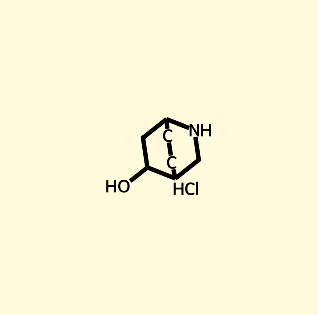 Cl.OC1CC2CCC1CN2